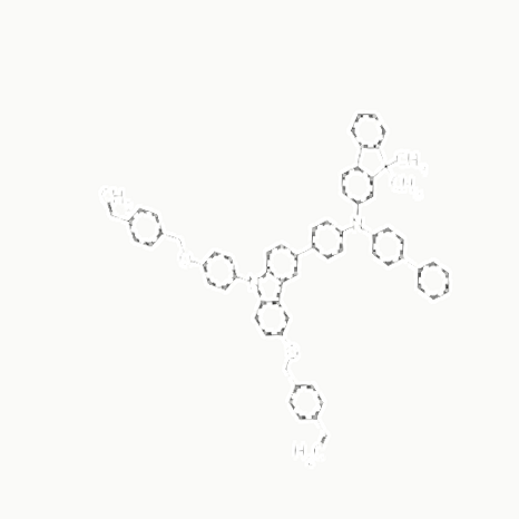 C=Cc1ccc(COc2ccc(-n3c4ccc(OCc5ccc(C=C)cc5)cc4c4cc(-c5ccc(N(c6ccc(-c7ccccc7)cc6)c6ccc7c(c6)C(C)(C)c6ccccc6-7)cc5)ccc43)cc2)cc1